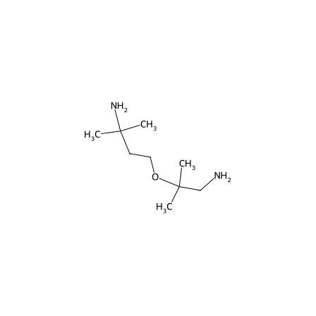 CC(C)(N)CCOC(C)(C)CN